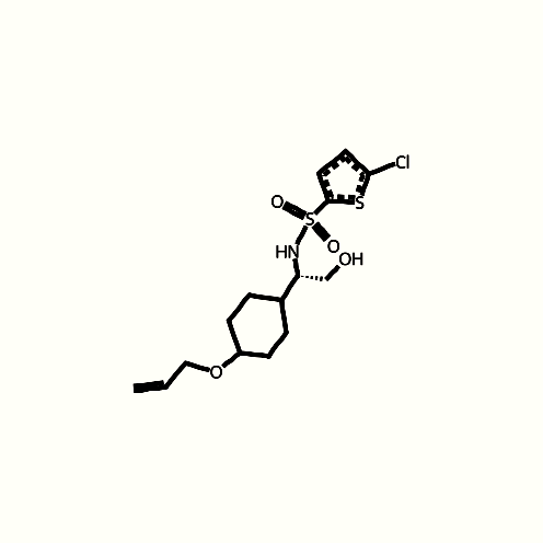 C=CCOC1CCC([C@@H](CO)NS(=O)(=O)c2ccc(Cl)s2)CC1